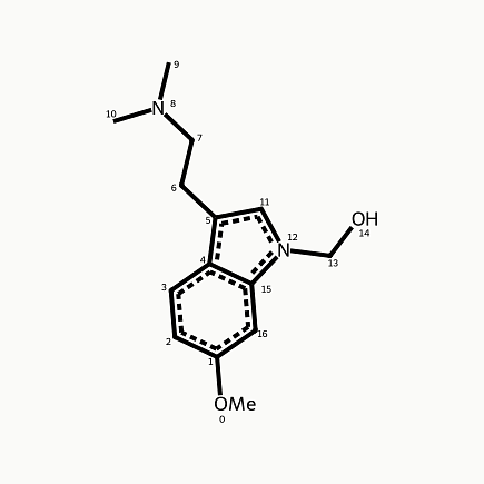 COc1ccc2c(CCN(C)C)cn(CO)c2c1